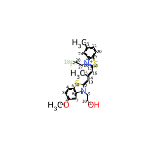 COc1ccc2c(c1)N(CCO)/C(=C/C(C)=C/c1sc3ccc(C)cc3[n+]1CC[18F])S2